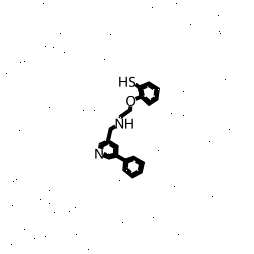 Sc1ccccc1OCCNCc1cncc(-c2ccccc2)c1